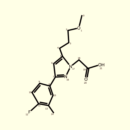 COCCCc1cc(-c2ccc(F)c(C)c2)nn1CC(=O)O